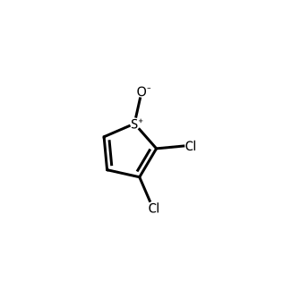 [O-][s+]1ccc(Cl)c1Cl